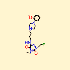 CCn1c(=O)c(NCCCCN2CCN(c3ccccc3OC)CC2)nn(CCF)c1=O